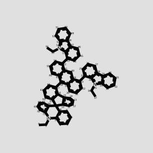 CCN1c2ccccc2C2(c3ccccc3-c3c(-c4c5cccc(-c6cccc7c8ccccc8n(CC)c67)c5cc5c(-c6cccc7c8ccccc8n(CC)c67)cccc45)cccc32)c2ccccc21